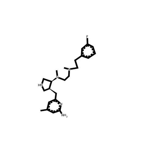 Cc1cc(N)nc(C[C@H]2CNC[C@H]2N(C)CCN(C)CCc2cccc(F)c2)c1